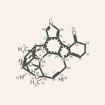 CC[N+](C)(C)[N@@+]12C3=C4C=C[C@@H](C3)O[C@](C)(/C=C\Cn3c5c(c6c7c(c4c1c63)C=NC=7)C(=O)CCC=5)[C@@H]2OC.I